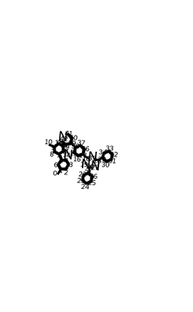 Cc1ccc2c(c1)c1cc(C)ccc1n2-c1cc(-c2nc(-c3ccccc3)nc(-c3ccccc3)n2)ccc1-c1ccncc1